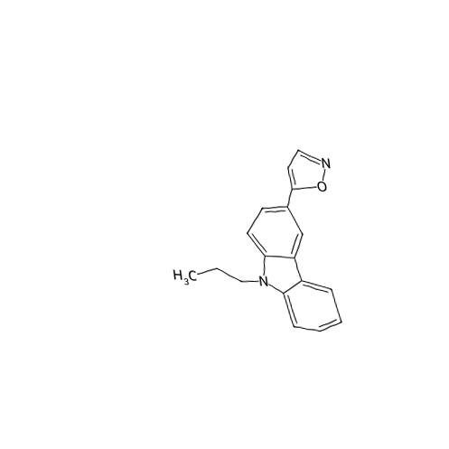 CCCn1c2ccccc2c2cc(-c3ccno3)ccc21